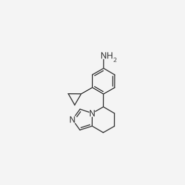 Nc1ccc(C2CCCc3cncn32)c(C2CC2)c1